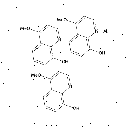 COc1ccnc2c(O)cccc12.COc1ccnc2c(O)cccc12.COc1ccnc2c(O)cccc12.[Al]